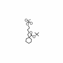 CC(C)(C)OC(=O)C1(CCCCOS(C)(=O)=O)CCCCC1